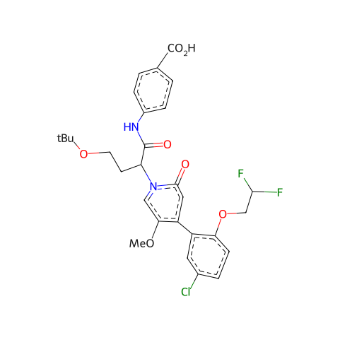 COc1cn(C(CCOC(C)(C)C)C(=O)Nc2ccc(C(=O)O)cc2)c(=O)cc1-c1cc(Cl)ccc1OCC(F)F